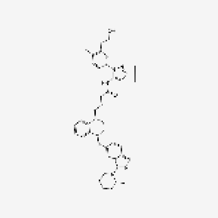 C[C@H]1CCCCN1c1nnc2ccc(O[C@@H]3CC[C@H](CCCC(=O)Nc4cc(C(C)(C)C)nn4-c4ccc(F)c(CCO)c4)c4ccccc43)cn12